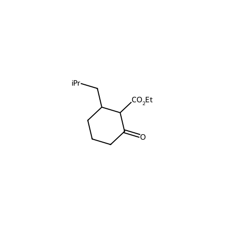 CCOC(=O)C1C(=O)CCCC1CC(C)C